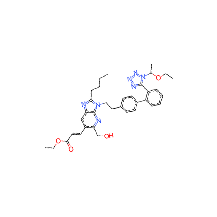 CCCCc1nc2cc(C=CC(=O)OCC)c(CO)nc2n1CCc1ccc(-c2ccccc2-c2nnnn2C(C)OCC)cc1